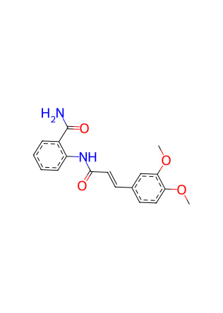 COc1ccc(C=CC(=O)Nc2ccccc2C(N)=O)cc1OC